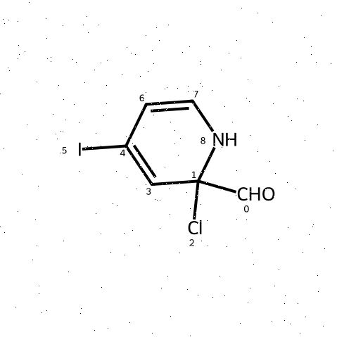 O=CC1(Cl)C=C(I)C=CN1